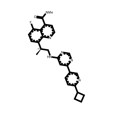 CNC(=O)c1ccnc2c([C@H](C)CNc3cc(-c4ccc(C5CCC5)nc4)ncn3)ccc(F)c12